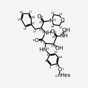 CCCCCCOc1ccc(NC(C(=O)NC(Cc2ccccc2)C(=O)N2CCOCC2)C(O)C(=O)NO)cc1